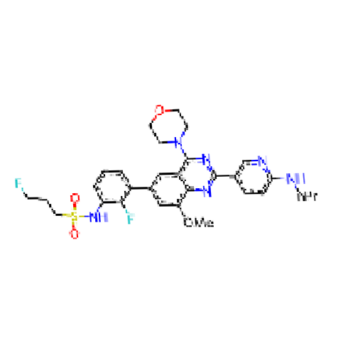 CCCNc1ccc(-c2nc(N3CCOCC3)c3cc(-c4cccc(NS(=O)(=O)CCCF)c4F)cc(OC)c3n2)cn1